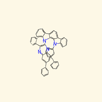 c1ccc(-c2cccc(-n3c4ccccc4c4ccc5c6ccccc6n(-c6nc7ccc(-c8ccccc8)cc7nc6-c6ccccc6)c5c43)c2)cc1